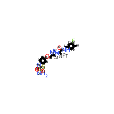 Cc1ccc(CNC(=O)C(C(C)C)n2cc(COc3ccc4nc(S(N)(=O)=O)sc4c3)nn2)cc1F